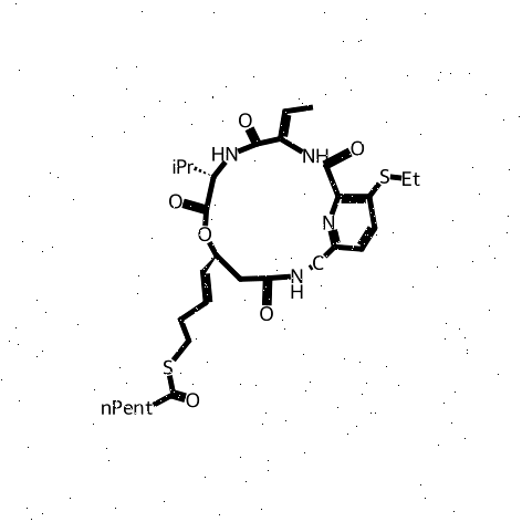 C/C=C1\NC(=O)c2nc(ccc2SCC)CNC(=O)C[C@@H](/C=C/CCSC(=O)CCCCC)OC(=O)[C@H](C(C)C)NC1=O